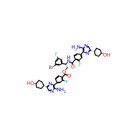 Nc1ncc([C@H]2CC[C@H](O)CC2)nc1-c1ccc(C(=O)N[C@H](COC(=O)c2ccc(-c3nc([C@H]4CC[C@H](O)CC4)cnc3N)cc2F)c2cc(F)cc(Br)c2)c(F)c1